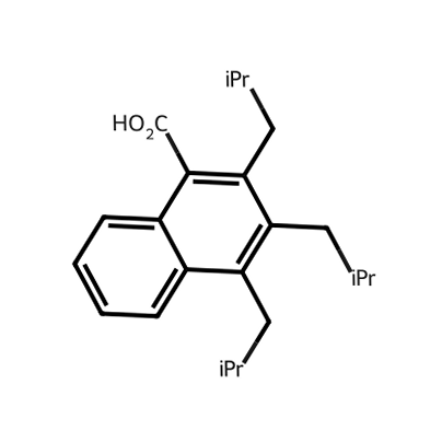 CC(C)Cc1c(CC(C)C)c(C(=O)O)c2ccccc2c1CC(C)C